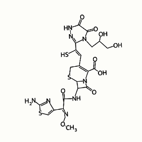 CON=C(C(=O)NC1C(=O)N2C(C(=O)O)=C(C=C(S)c3n[nH]c(=O)c(=O)n3CC(O)CO)CSC12)c1csc(N)n1